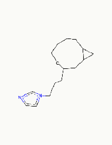 c1cn(CCCC2CCCCCC3CC3C2)cn1